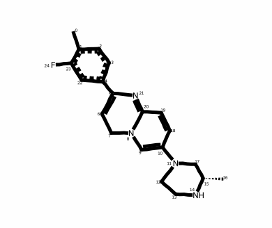 Cc1ccc(C2=CCN3C=C(N4CCN[C@@H](C)C4)C=CC3=N2)cc1F